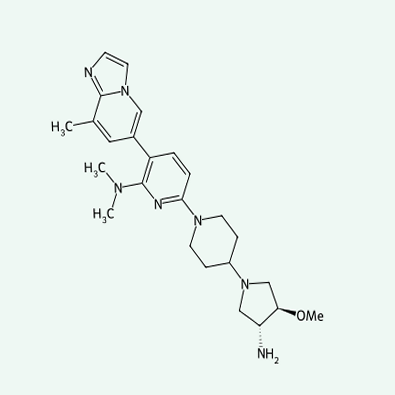 CO[C@@H]1CN(C2CCN(c3ccc(-c4cc(C)c5nccn5c4)c(N(C)C)n3)CC2)C[C@H]1N